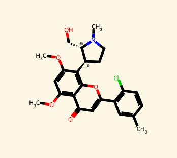 COc1cc(OC)c2c(=O)cc(-c3cc(C)ccc3Cl)oc2c1[C@@H]1CCN(C)[C@H]1CO